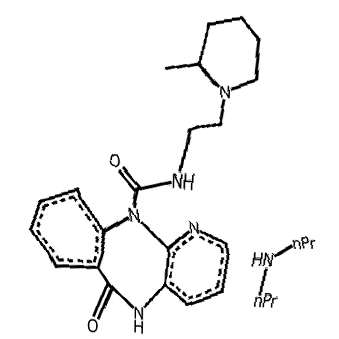 CC1CCCCN1CCNC(=O)N1c2ccccc2C(=O)Nc2cccnc21.CCCNCCC